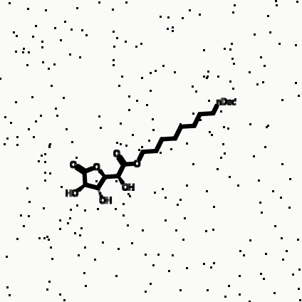 CCCCCCCCCCCCCCCCCCOC(=O)[C@@H](O)[C@@H]1OC(=O)[C@H](O)[C@H]1O